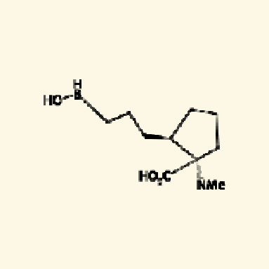 CN[C@@]1(C(=O)O)CCC[C@@H]1CCCBO